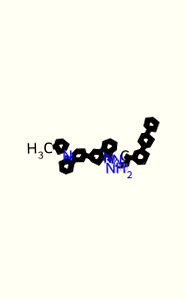 C=C(/C=C\N=C(/N)n1c2ccccc2c2cc(C3=CC4c5ccccc5N(c5cccc(C)c5)C4C=C3)ccc21)c1cccc(-c2ccc(-c3ccccc3)cc2)c1